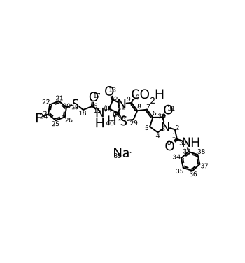 O=C(CN1CCC(=CC2=C(C(=O)O)N3C(=O)[C@@H](NC(=O)CSc4ccc(F)cc4)[C@H]3SC2)C1=O)Nc1ccccc1.[Na]